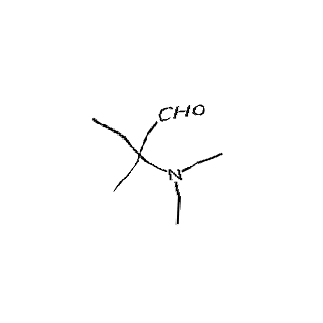 CN(C)C(C)(C)C=O